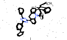 C/C=C\C1=C(C)C2(c3ccccc31)c1ccccc1N1c3cccc(-c4nc(-c5ccccc5)nc(-c5cccc(-c6ccccc6)c5)n4)c3Cc3cccc2c31